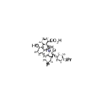 CC(C)c1ccc(N2C(=O)/C(=N\Nc3c(C(=O)O)cccc3-c3ccccc3O)c3ccc(F)cc32)cc1